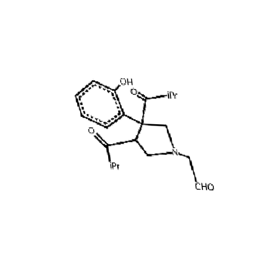 CC(C)C(=O)C1CN(CC=O)CC1(C(=O)C(C)C)c1ccccc1O